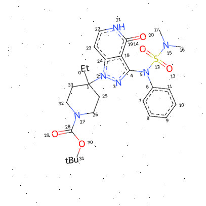 CCC1(n2nc(N(c3ccccc3)S(=O)(=O)N(C)C)c3c(=O)[nH]ccc32)CCN(C(=O)OC(C)(C)C)CC1